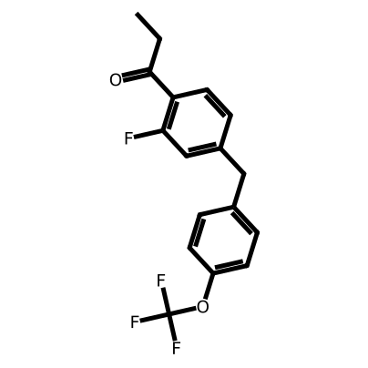 CCC(=O)c1ccc(Cc2ccc(OC(F)(F)F)cc2)cc1F